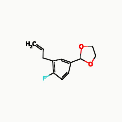 C=CCc1cc(C2OCCO2)ccc1F